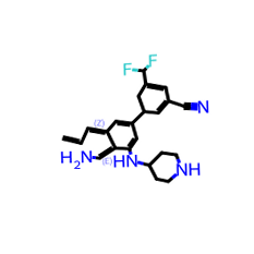 C=C/C=c1/cc(C2C=C(C#N)C=C(C(F)F)C2)cc(NC2CCNCC2)/c1=C/N